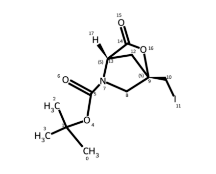 CC(C)(C)OC(=O)N1C[C@]2(CI)C[C@H]1C(=O)O2